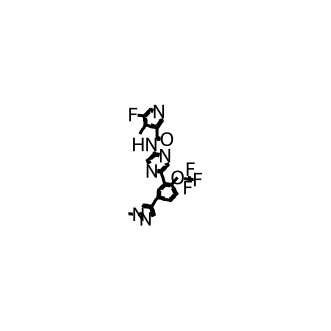 Cc1c(F)cncc1C(=O)Nc1cnc(-c2cc(-c3cnn(C)c3)ccc2OC(F)(F)F)cn1